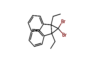 CCC1(c2ccccc2)C(Br)(Br)C1(CC)c1ccccc1